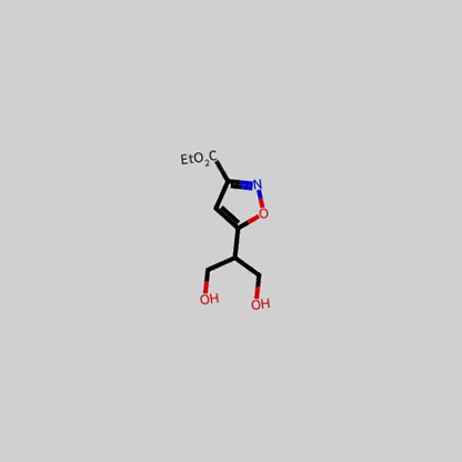 CCOC(=O)c1cc(C(CO)CO)on1